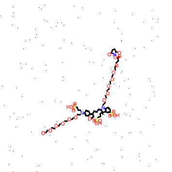 COCCOCCOCCOCCOCCOCCN(CCCS(=O)(=O)O)c1ccc2c(/C=C/C=C3/N(CCOCCOCCOCCOCCOCCOCCC(=O)ON4C(=O)CCC4=O)c4ccc(S(=O)(=O)O)cc4C3(C)CCCS(=O)(=O)O)cc[o+]c2c1